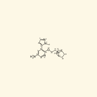 Cn1nccc1-c1cc(N)cnc1OCCN1C2CCC1CC2